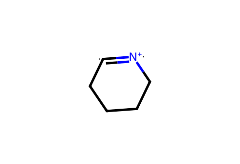 [C]1=[N+]CCCC1